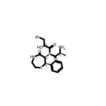 CC(C)C[C@H](O)C(=O)N(C(=O)[C@H](C)N)[C@@H]1C(=O)NCCS[C@@H]1c1ccccc1